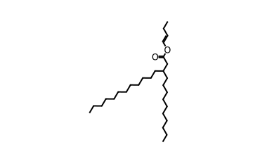 CC/C=C/OC(=O)CC(CCCCCCCCCC)CCCCCCCCCCCC